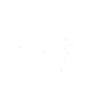 C[C@H](C(N)=O)N(c1ccc(F)cc1)c1nc(N)c(C(=O)c2cc(-c3ccc(OC(F)(F)F)cc3)no2)s1